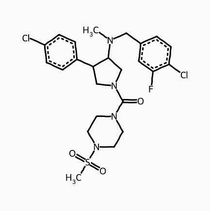 CN(Cc1ccc(Cl)c(F)c1)C1CN(C(=O)N2CCN(S(C)(=O)=O)CC2)CC1c1ccc(Cl)cc1